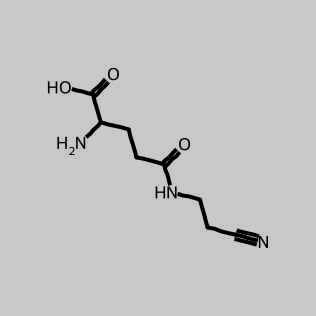 N#CCCNC(=O)CCC(N)C(=O)O